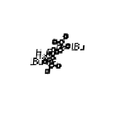 CC(C)(C)c1ccc(N(c2ccc3c(c2)C(C)(C)c2cccc4c2c-3cc2ccc(N(c3ccc(C(C)(C)C)cc3)c3cc(-c5ccccc5)cc(-c5ccccc5)c3F)cc24)c2cc(-c3ccccc3)cc(-c3ccccc3)c2F)cc1